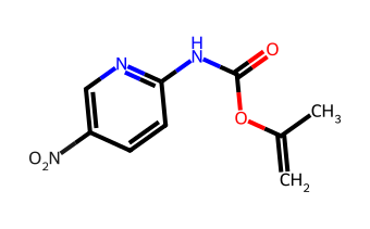 C=C(C)OC(=O)Nc1ccc([N+](=O)[O-])cn1